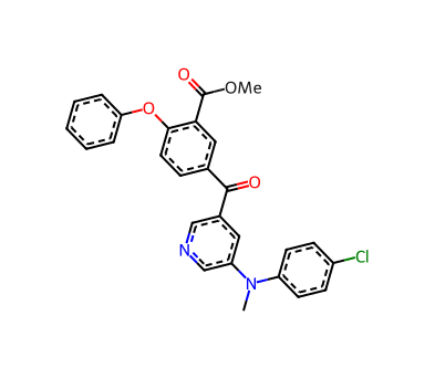 COC(=O)c1cc(C(=O)c2cncc(N(C)c3ccc(Cl)cc3)c2)ccc1Oc1ccccc1